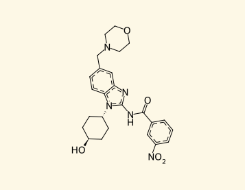 O=C(Nc1nc2cc(CN3CCOCC3)ccc2n1[C@H]1CC[C@H](O)CC1)c1cccc([N+](=O)[O-])c1